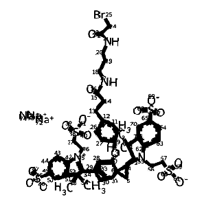 CC1(C)C(=C2CC23C(Oc2ccc(CCC(=O)NCCCNC(=O)CBr)cc2)=C2CCC3C=C2C2=[N+](CCS(=O)(=O)[O-])c3ccc(S(=O)(=O)[O-])cc3C2(C)C)N(CCS(=O)(=O)[O-])c2ccc(S(=O)(=O)[O-])cc21.[Na+].[Na+].[Na+]